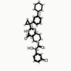 O=C([C@H](O)c1cccc(Cl)c1)N1CCc2nc(C3(c4cccc(C5CCCCC5)c4)CC3)[nH]c(=O)c2C1